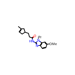 COc1ccc2nc(NC(=O)CCC3CC=C(C)C3)n(C(C)C)c2c1